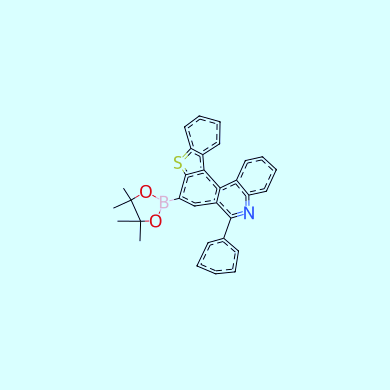 CC1(C)OB(c2cc3c(-c4ccccc4)nc4ccccc4c3c3c2sc2ccccc23)OC1(C)C